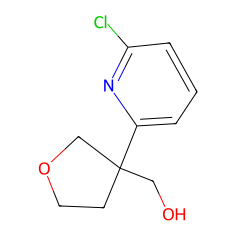 OCC1(c2cccc(Cl)n2)CCOC1